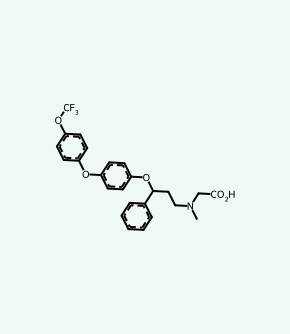 CN(CCC(Oc1ccc(Oc2ccc(OC(F)(F)F)cc2)cc1)c1ccccc1)CC(=O)O